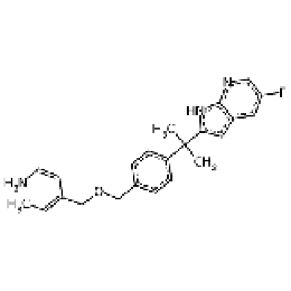 C/C=C(\C=C/N)COCc1ccc(C(C)(C)c2cc3cc(F)cnc3[nH]2)cc1